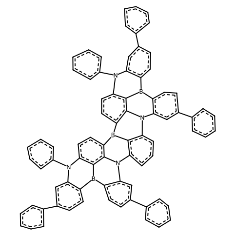 c1ccc(-c2ccc3c(c2)N(c2ccccc2)c2ccc4c5c2B3c2ccc(-c3ccccc3)cc2N5c2cccc3c2B4c2ccc4c5c2N3c2cc(-c3ccccc3)ccc2B5c2ccc(-c3ccccc3)cc2N4c2ccccc2)cc1